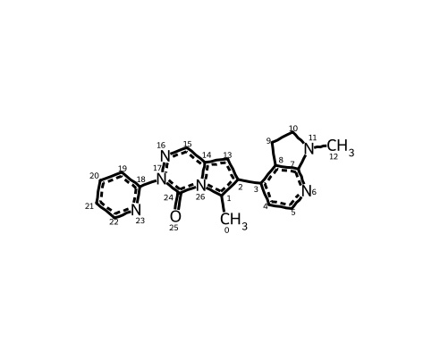 Cc1c(-c2ccnc3c2CCN3C)cc2cnn(-c3ccccn3)c(=O)n12